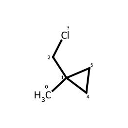 CC1(CCl)CC1